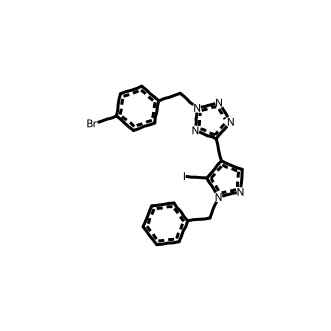 Brc1ccc(Cn2nnc(-c3cnn(Cc4ccccc4)c3I)n2)cc1